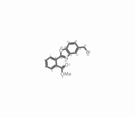 COC(=O)c1ccccc1-c1nc2cc(CBr)ccc2o1